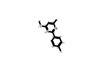 COc1cc(C)nc(-c2ccc(C)cc2)n1